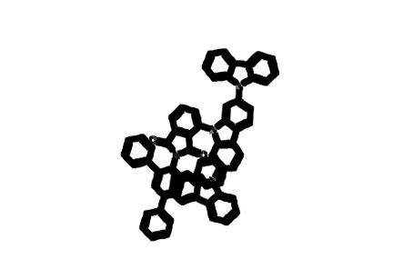 O=C1c2cccc(-n3c4cc(-n5c6ccccc6c6ccccc65)ccc4c4ccc(-n5c6ccccc6c6ccccc65)cc43)c2C(=O)N1c1c(-c2ccccc2)cc(-c2ccccc2)cc1-c1ccccc1